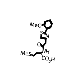 COc1ccccc1-c1nc(CC(=O)N[C@@H](CCSC)C(=O)O)cs1